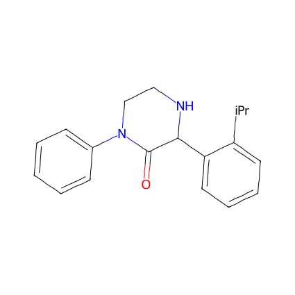 CC(C)c1ccccc1C1NCCN(c2ccccc2)C1=O